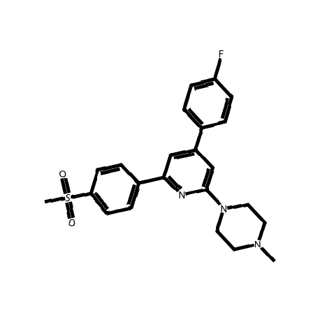 CN1CCN(c2cc(-c3ccc(F)cc3)cc(-c3ccc(S(C)(=O)=O)cc3)n2)CC1